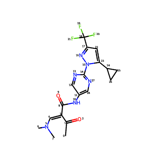 CC(=O)/C(=C\N(C)C)C(=O)Nc1cnc(-n2nc(C(F)(F)F)cc2C2CC2)nc1